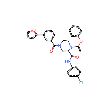 C=C(Oc1ccccc1)N1CCN(C(=O)c2cccc(-c3ccco3)c2)CC1C(=O)Nc1ccc(Cl)cc1